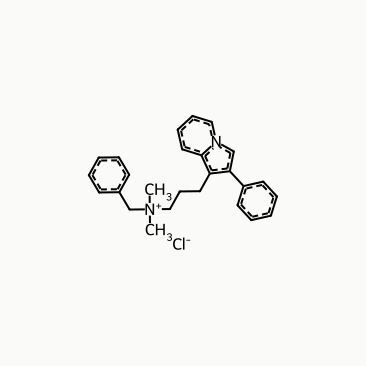 C[N+](C)(CCCc1c(-c2ccccc2)cn2ccccc12)Cc1ccccc1.[Cl-]